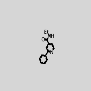 CCNC(=O)c1ccnc(-c2ccccc2)c1